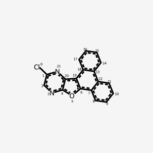 Clc1cnc2oc3c4ccccc4c4ccccc4c3c2n1